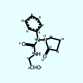 O=[C]CNC(=O)N(c1ccccc1)N1CCCC1=O